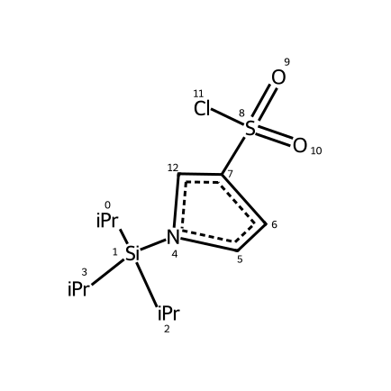 CC(C)[Si](C(C)C)(C(C)C)n1ccc(S(=O)(=O)Cl)c1